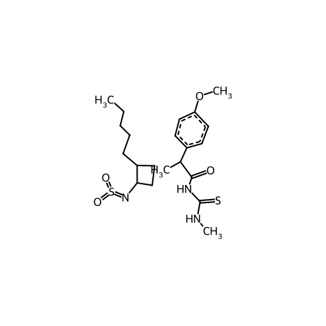 CCCCCC1CCC1N=S(=O)=O.CNC(=S)NC(=O)C(C)c1ccc(OC)cc1